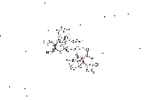 Nc1ccc(Oc2ccc(C3C4CC5CC(C4)CC3C5)c(Oc3ccc(N)c(O)c3)c2C2C3CC4CC(C3)CC2C4)cc1O